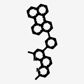 Cc1ccc2ccc3c(-c4cccc(-c5ccc6c7cccc8cccc(c9cccc5c96)c87)c4)cc(C)nc3c2n1